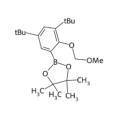 COCOc1c(B2OC(C)(C)C(C)(C)O2)cc(C(C)(C)C)cc1C(C)(C)C